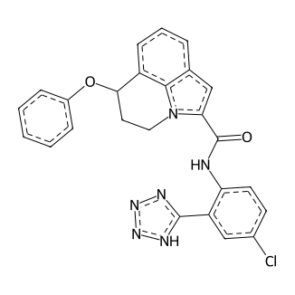 O=C(Nc1ccc(Cl)cc1-c1nnn[nH]1)c1cc2cccc3c2n1CCC3Oc1ccccc1